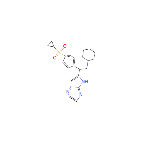 O=S(=O)(c1ccc(C(CC2CCCCC2)c2cc3nccnc3[nH]2)cc1)C1CC1